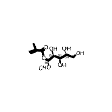 C=C(C)C(=O)O[C@@H](C=O)[C@@H](O)[C@H](O)[C@H](O)CO